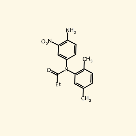 CCC(=O)N(c1ccc(N)c([N+](=O)[O-])c1)c1cc(C)ccc1C